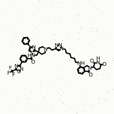 O=C1CCC(N2Cc3c(NCCCCCCn4cc(CCN5CCC(CNC(=O)c6cccc(-c7noc(C(F)(F)F)n7)c6)(c6nc(-c7ccccc7)cs6)CC5)nn4)cccc3C2=O)C(=O)N1